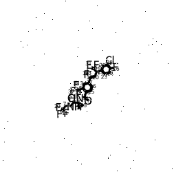 O=C(NC1(C(=O)NCC(F)(F)F)CC1)c1ccc(C(F)=CC(c2ccc(F)c(Cl)c2)C(F)(F)F)cc1C(F)(F)F